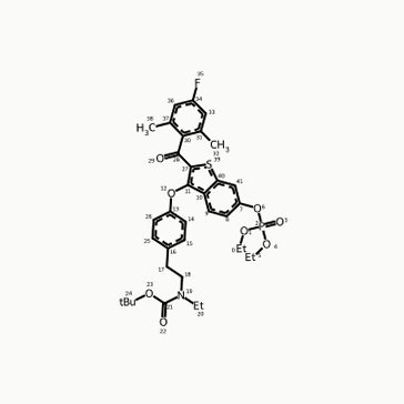 CCOP(=O)(OCC)Oc1ccc2c(Oc3ccc(CCN(CC)C(=O)OC(C)(C)C)cc3)c(C(=O)c3c(C)cc(F)cc3C)sc2c1